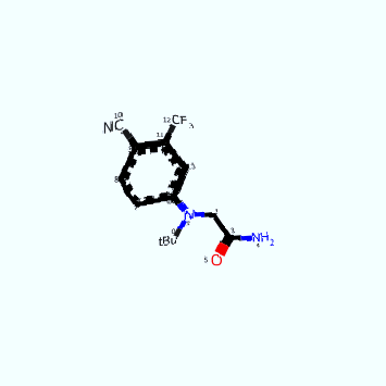 CC(C)(C)N(CC(N)=O)c1ccc(C#N)c(C(F)(F)F)c1